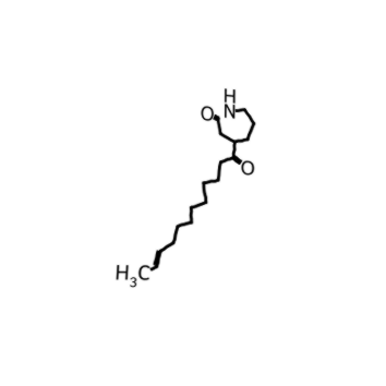 CC=CCCCCCCCCC(=O)C1CCCNC(=O)C1